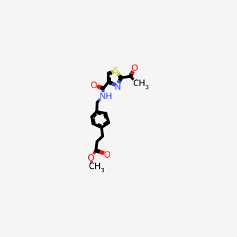 COC(=O)CCc1ccc(CNC(=O)c2csc(C(C)=O)n2)cc1